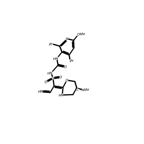 CN[C@H]1CN/C(=C(\C=N)S(=O)(=O)NC(=O)Nc2c(C(C)C)cc(OC)nc2C(C)C)OC1